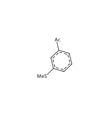 [CH2]C(=O)c1cccc(SC)c1